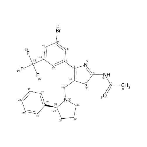 CC(=O)Nc1nc(-c2cc(Br)cc(C(F)(F)F)c2)c(CN2CCC[C@H]2c2ccccc2)s1